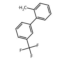 [CH2]c1ccccc1-c1cccc(C(F)(F)F)c1